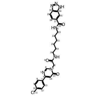 O=C(Cn1cnc(-c2ccc(Cl)cc2)cc1=O)NCCCCCCNC(=O)c1ccc2nn[nH]c2c1